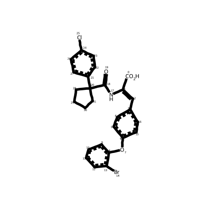 O=C(O)/C(=C/c1ccc(Oc2ccccc2Br)cc1)NC(=O)C1(c2ccc(Cl)cc2)CCCC1